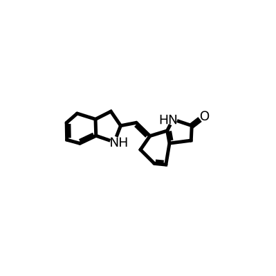 O=C1CC2=C(N1)C(=CC1CC3CC=CC=C3N1)CC=C2